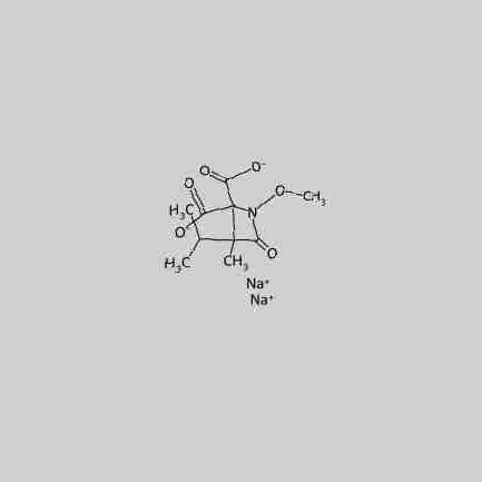 CON1C(=O)C(C)(C(C)C)C1(C(=O)[O-])C(=O)[O-].[Na+].[Na+]